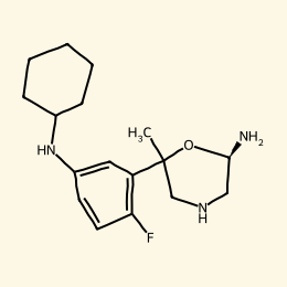 CC1(c2cc(NC3CCCCC3)ccc2F)CNC[C@H](N)O1